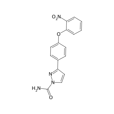 NC(=O)n1ccc(-c2ccc(Oc3ccccc3[N+](=O)[O-])cc2)n1